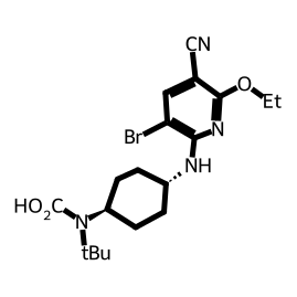 CCOc1nc(N[C@H]2CC[C@H](N(C(=O)O)C(C)(C)C)CC2)c(Br)cc1C#N